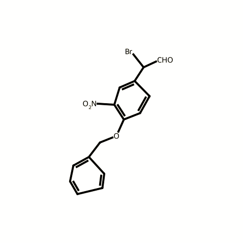 O=CC(Br)c1ccc(OCc2ccccc2)c([N+](=O)[O-])c1